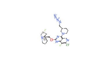 [N-]=[N+]=NCC1CCCN(c2nc(OC[C@@]34CCCN3C[C@H](F)C4)nc3c(F)c(Cl)ncc23)C1